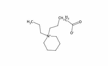 CC(=O)[O-].CCC[N+]1(CCC)CCCCC1